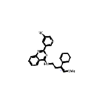 CN/C=C(/CCNc1nc(-c2cncc(C#N)c2)nc2ccccc12)C1=CCCC=C1